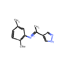 COc1ccc(C)cc1/N=C(\C)c1cn[nH]c1